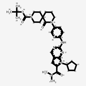 CN(C)C(=O)c1cc2cnc(Nc3ccc(N4CCCC5(CCN(C(=O)OC(C)(C)C)CC5)C4=O)cn3)nc2n1C1CCCC1